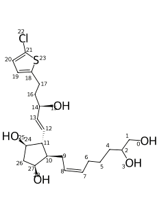 OCC(O)CCC/C=C\C[C@@H]1[C@@H](/C=C/[C@H](O)CCc2ccc(Cl)s2)[C@H](O)C[C@@H]1O